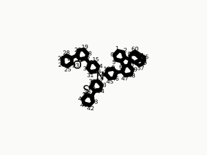 c1ccc2c(c1)-c1c(-c3ccc(N(c4ccc(-c5cccc6c5oc5ccccc56)cc4)c4ccc5c(c4)sc4ccccc45)cc3)cccc1C21C2CC3CC(C2)CC1C3